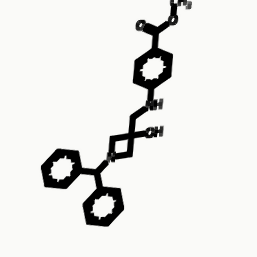 COC(=O)c1ccc(NCC2(O)CN(C(c3ccccc3)c3ccccc3)C2)cc1